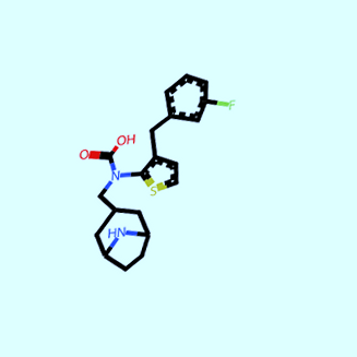 O=C(O)N(CC1CC2CCC(C1)N2)c1sccc1Cc1cccc(F)c1